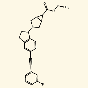 CCOC(=O)C1C2CN(C3CCc4cc(C#Cc5cccc(F)c5)ccc43)CC21